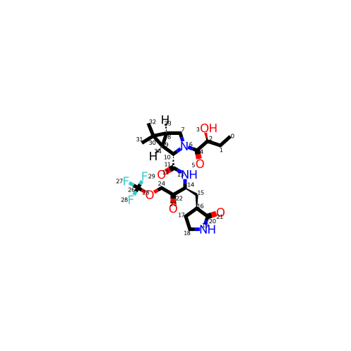 CC[C@H](O)C(=O)N1C[C@H]2[C@@H]([C@H]1C(=O)N[C@@H](C[C@@H]1CCNC1=O)C(=O)COC(F)(F)F)C2(C)C